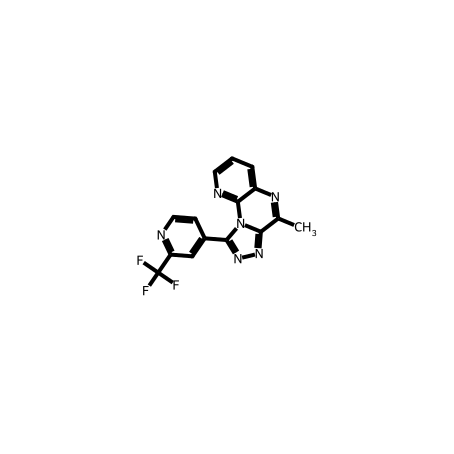 Cc1nc2cccnc2n2c(-c3ccnc(C(F)(F)F)c3)nnc12